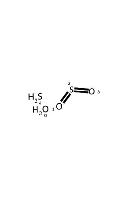 O.O=S=O.S